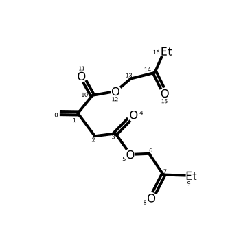 C=C(CC(=O)OCC(=O)CC)C(=O)OCC(=O)CC